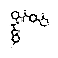 O=C(NC1CCCCC1NC(=O)c1cc2cc(Cl)ccc2[nH]1)c1ccc(N2CCOCC2=O)cc1